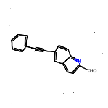 O=Cc1ccc2cc(C#Cc3ccccc3)ccc2n1